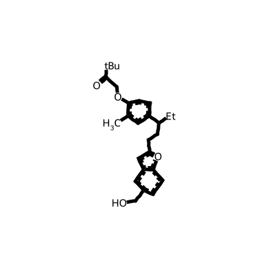 CCC(CCc1cc2cc(CO)ccc2o1)c1ccc(OCC(=O)C(C)(C)C)c(C)c1